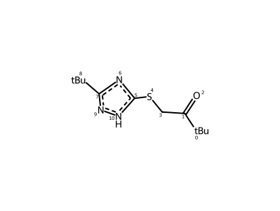 CC(C)(C)C(=O)CSc1nc(C(C)(C)C)n[nH]1